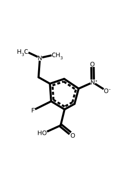 CN(C)Cc1cc([N+](=O)[O-])cc(C(=O)O)c1F